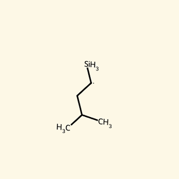 CC(C)C[CH][SiH3]